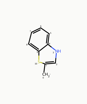 [CH2]C1=CNc2ccccc2S1